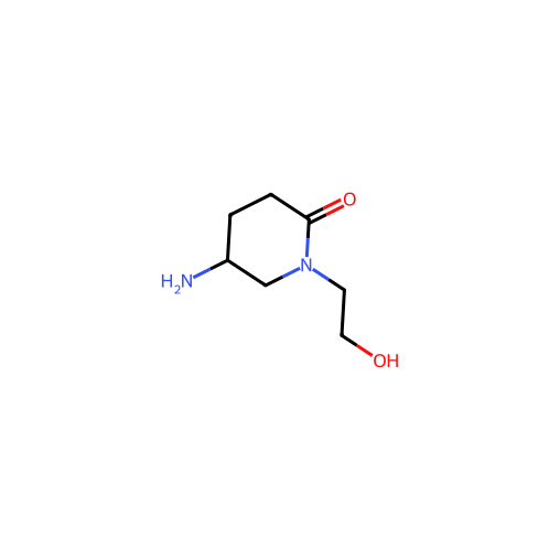 NC1CCC(=O)N(CCO)C1